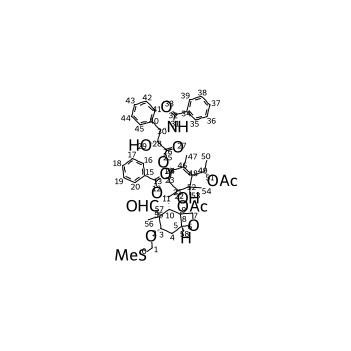 CSCO[C@H]1C[C@H]2OC[C@@]2(OC(C)=O)[C@@H]([C@H](OC(=O)c2ccccc2)[C@]2(O)C[C@H](OC(=O)[C@H](O)[C@@H](NC(=O)c3ccccc3)c3ccccc3)C(C)=C([C@H](C)OC(C)=O)C2(C)C)[C@]1(C)C=O